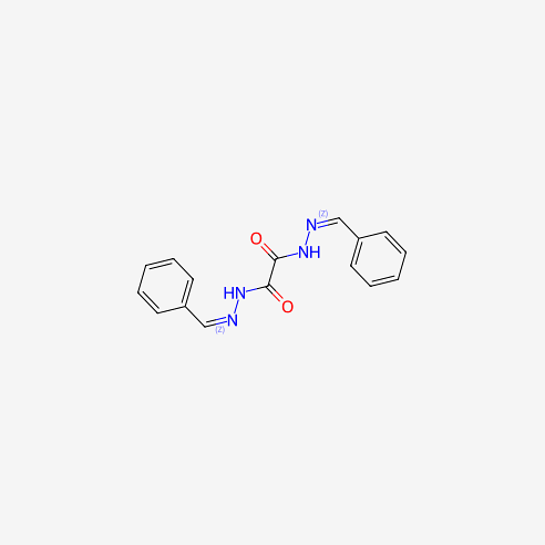 O=C(N/N=C\c1ccccc1)C(=O)N/N=C\c1ccccc1